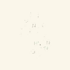 O=C(CSc1nnc(-c2ccco2)[nH]1)N1c2ccccc2Oc2ccccc21